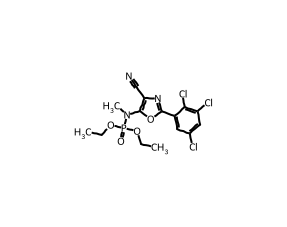 CCOP(=O)(OCC)N(C)c1oc(-c2cc(Cl)cc(Cl)c2Cl)nc1C#N